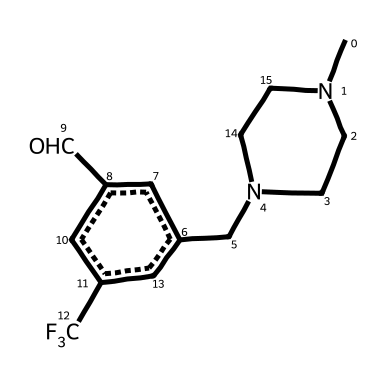 CN1CCN(Cc2cc(C=O)cc(C(F)(F)F)c2)CC1